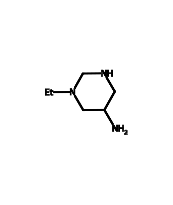 CCN1CNCC(N)C1